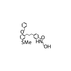 CSc1ccc(OCc2ccccc2)c(CCCc2ccc(C(=O)NCCO)cc2)c1